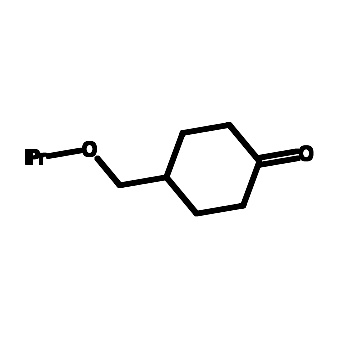 CC(C)OCC1CCC(=O)CC1